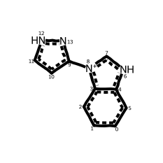 c1ccc2c(c1)[nH]c[n+]2-c1cc[nH]n1